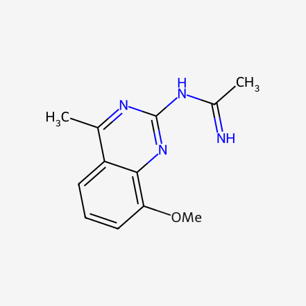 COc1cccc2c(C)nc(NC(C)=N)nc12